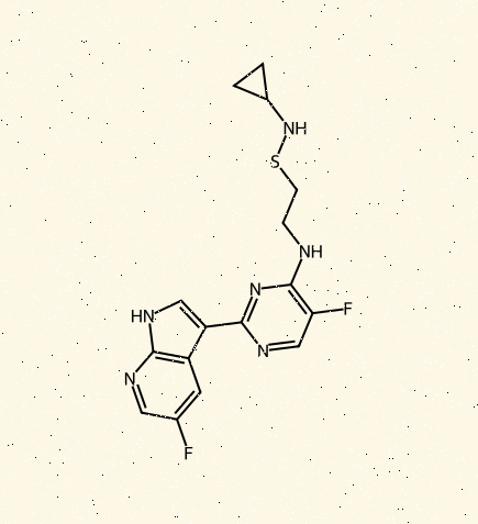 Fc1cnc2[nH]cc(-c3ncc(F)c(NCCSNC4CC4)n3)c2c1